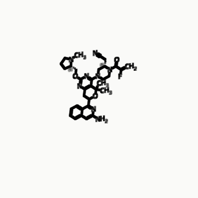 C=C(F)C(=O)N1CCN(c2nc(OC[C@@H]3CCCN3C)nc3c2C(C)(C)OC(c2nc(N)cc4ccccc24)C3)C[C@@H]1CC#N